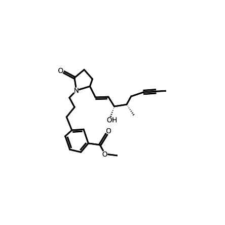 CC#CC[C@H](C)[C@H](O)C=CC1CCC(=O)N1CCCc1cccc(C(=O)OC)c1